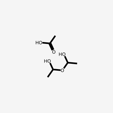 CC(=O)O.CC(O)OC(C)O